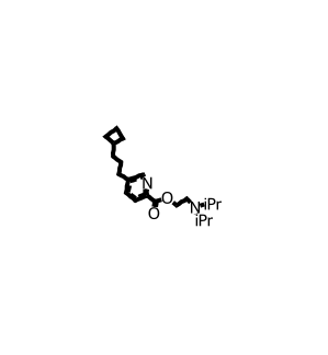 CC(C)N(CCOC(=O)c1ccc(CCCC2CCC2)cn1)C(C)C